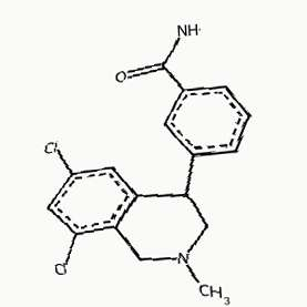 CN1Cc2c(Cl)cc(Cl)cc2C(c2cccc(C([NH])=O)c2)C1